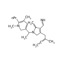 C=C=C(C)CC1=C(C=N)C(=C)N(C(C)C2=CC(C)=C(CCC)N(C)C2)C1